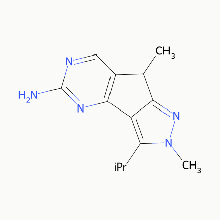 CC(C)c1c2c(nn1C)C(C)c1cnc(N)nc1-2